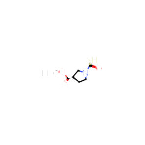 COC(=O)[C@H]1CCN(C(=O)S)C1